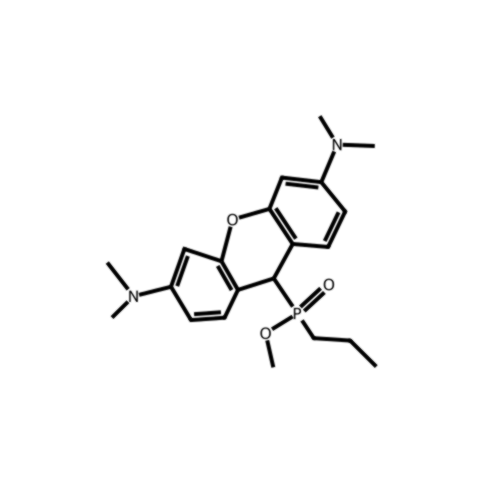 CCCP(=O)(OC)C1c2ccc(N(C)C)cc2Oc2cc(N(C)C)ccc21